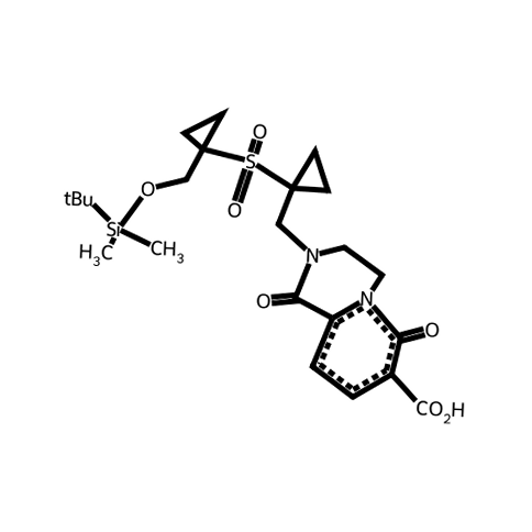 CC(C)(C)[Si](C)(C)OCC1(S(=O)(=O)C2(CN3CCn4c(ccc(C(=O)O)c4=O)C3=O)CC2)CC1